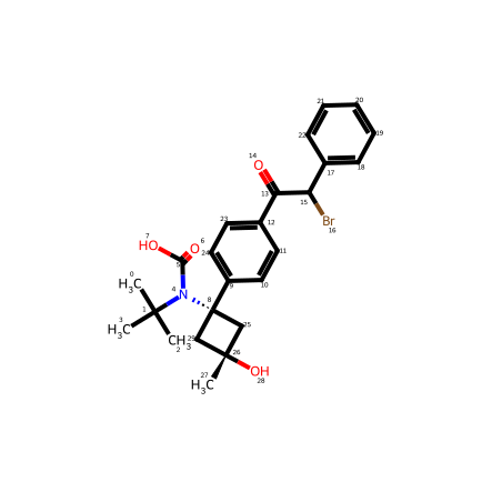 CC(C)(C)N(C(=O)O)[C@]1(c2ccc(C(=O)C(Br)c3ccccc3)cc2)C[C@](C)(O)C1